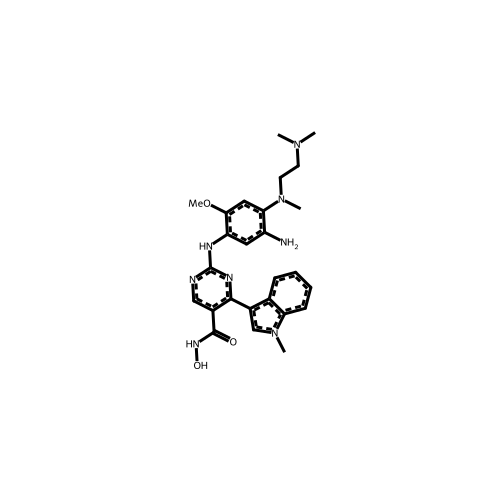 COc1cc(N(C)CCN(C)C)c(N)cc1Nc1ncc(C(=O)NO)c(-c2cn(C)c3ccccc23)n1